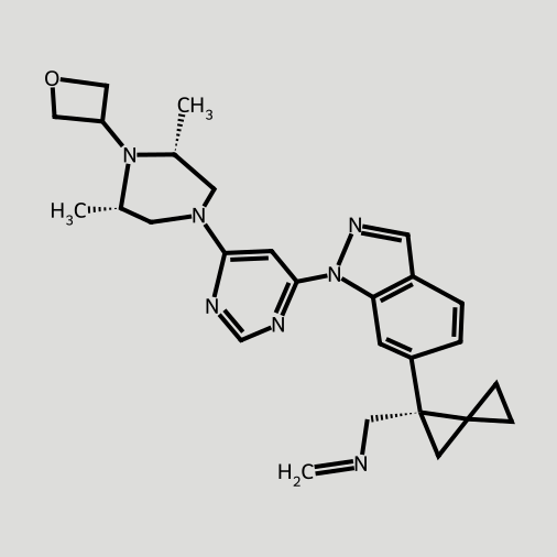 C=NC[C@@]1(c2ccc3cnn(-c4cc(N5C[C@@H](C)N(C6COC6)[C@@H](C)C5)ncn4)c3c2)CC12CC2